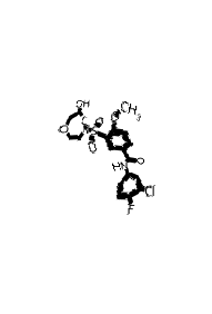 COc1ccc(C(=O)Nc2ccc(F)c(Cl)c2)cc1S(=O)(=O)N1CCOCC(O)C1